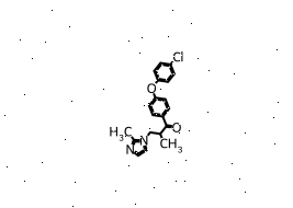 Cc1nccn1CC(C)C(=O)c1ccc(Oc2ccc(Cl)cc2)cc1